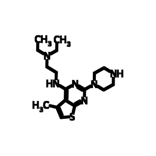 CCN(CC)CCNc1nc(N2CCNCC2)nc2scc(C)c12